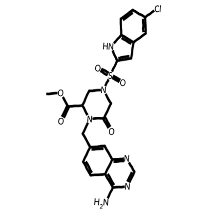 COC(=O)C1CN(S(=O)(=O)c2cc3cc(Cl)ccc3[nH]2)CC(=O)N1Cc1ccc2c(N)ncnc2c1